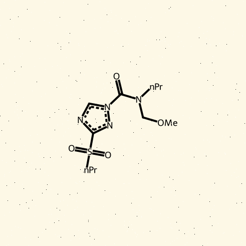 CCCN(COC)C(=O)n1cnc(S(=O)(=O)CCC)n1